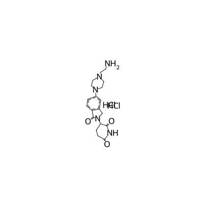 Cl.Cl.NCCN1CCN(c2ccc3c(c2)CN(C2CCC(=O)NC2=O)C3=O)CC1